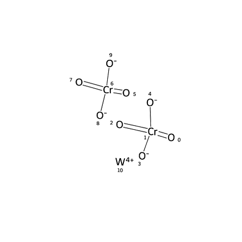 [O]=[Cr](=[O])([O-])[O-].[O]=[Cr](=[O])([O-])[O-].[W+4]